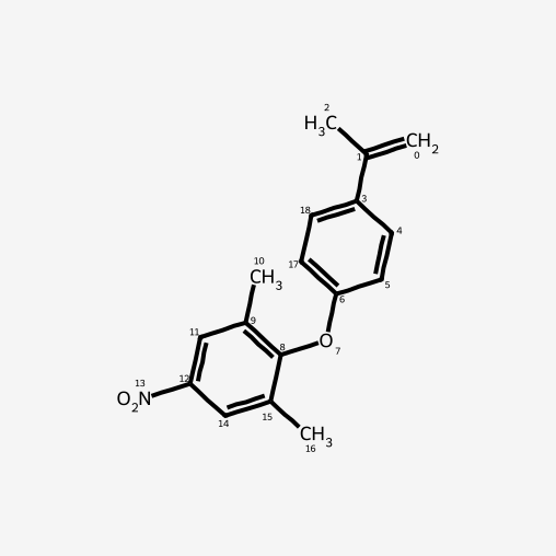 C=C(C)c1ccc(Oc2c(C)cc([N+](=O)[O-])cc2C)cc1